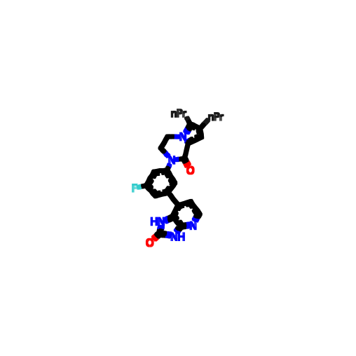 CCCc1cc2n(c1CCC)CCN(c1cc(F)cc(-c3ccnc4[nH]c(=O)[nH]c34)c1)C2=O